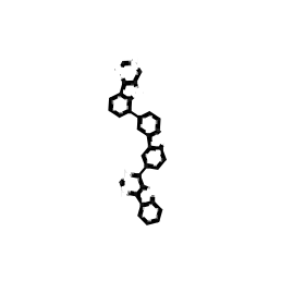 c1ccc2c(c1)oc1c(-c3ccc4oc5ccc(-c6cccc7c6oc6cncnc67)cc5c4c3)ncnc12